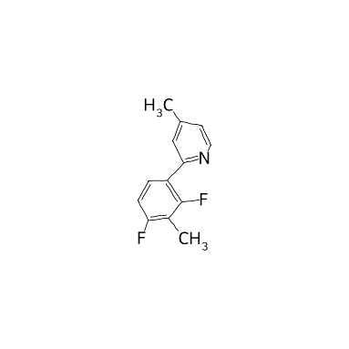 Cc1ccnc(-c2ccc(F)c(C)c2F)c1